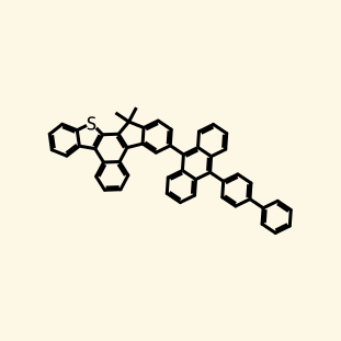 CC1(C)c2ccc(-c3c4ccccc4c(-c4ccc(-c5ccccc5)cc4)c4ccccc34)cc2-c2c1c1sc3ccccc3c1c1ccccc21